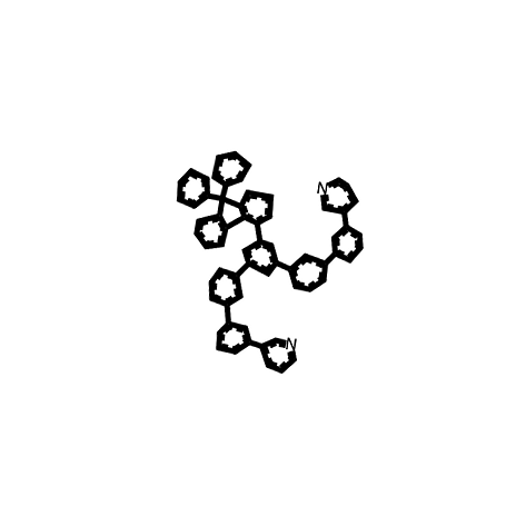 c1ccc(C2(c3ccccc3)c3ccccc3-c3c(-c4cc(-c5cccc(-c6cccc(-c7cccnc7)c6)c5)cc(-c5cccc(-c6cccc(-c7cccnc7)c6)c5)c4)cccc32)cc1